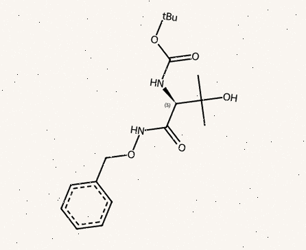 CC(C)(C)OC(=O)N[C@H](C(=O)NOCc1ccccc1)C(C)(C)O